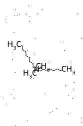 CCCCCCCCC[N+](C)(C)CCCCCCCC